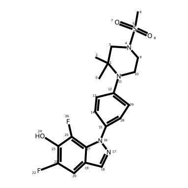 CC1(C)CN(S(C)(=O)=O)CCN1c1ccc(-n2ncc3cc(F)c(O)c(F)c32)cc1